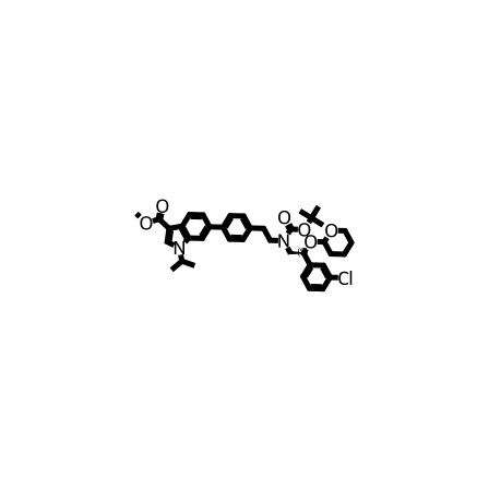 COC(=O)c1cn(C(C)C)c2cc(-c3ccc(CCN(C[C@@H](OC4CCCCO4)c4cccc(Cl)c4)C(=O)OC(C)(C)C)cc3)ccc12